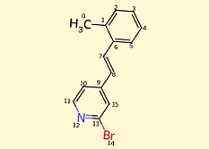 Cc1ccccc1C=Cc1ccnc(Br)c1